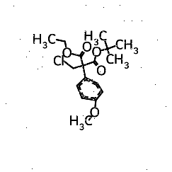 CCOC(=O)C(CCl)(C(=O)OC(C)(C)C)c1ccc(OC)cc1